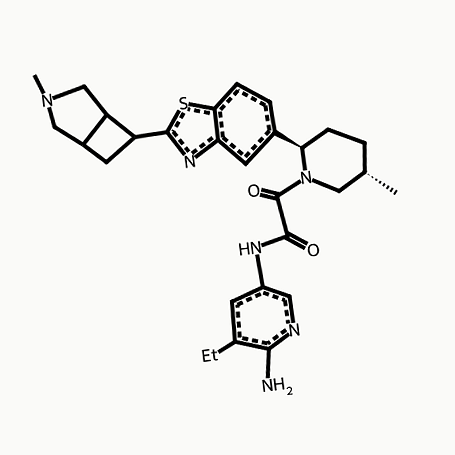 CCc1cc(NC(=O)C(=O)N2C[C@@H](C)CC[C@@H]2c2ccc3sc(C4CC5CN(C)CC54)nc3c2)cnc1N